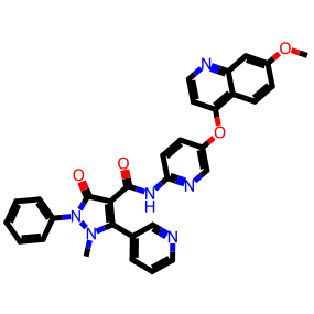 COc1ccc2c(Oc3ccc(NC(=O)c4c(-c5cccnc5)n(C)n(-c5ccccc5)c4=O)nc3)ccnc2c1